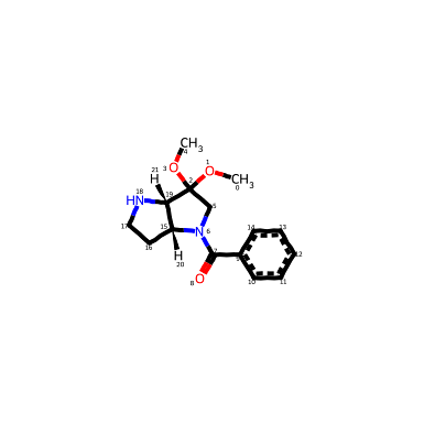 COC1(OC)CN(C(=O)c2ccccc2)[C@@H]2CCN[C@@H]21